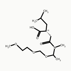 COCCOCOC(C)N(C)C(=O)C[C@@H](CC(C)C)C(=O)O